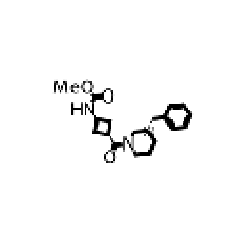 COC(=O)N[C@H]1C[C@@H](C(=O)N2CCC[C@@H](Cc3ccccc3)C2)C1